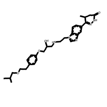 CC(C)COCCc1ccc(OCC(O)CNCCn2cnc3cc(C4=NNC(=O)CC4C)ccc32)cc1